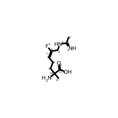 CC(=N)NC/C(F)=C\CCC(C)(N)C(=O)O